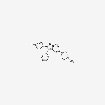 CN1CCN(c2ccn3nc(-c4ccc(F)cc4)c(-c4ccncc4)c3n2)CC1